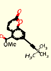 COC(=O)c1cc(C#C[Si](C)(C)C)cc2oc(=O)ccc12